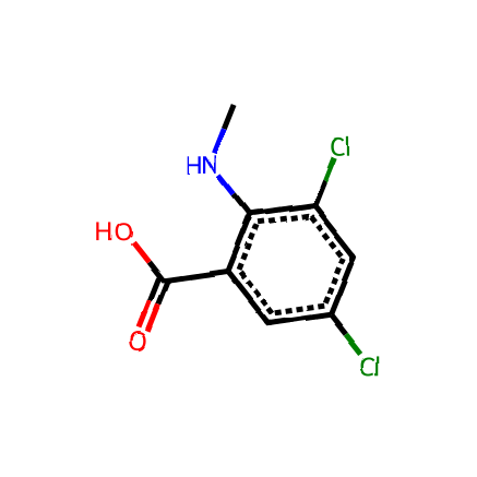 CNc1c(Cl)cc(Cl)cc1C(=O)O